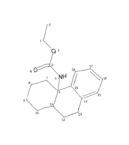 CCOC(=O)NC12CCCCC1CCc1ccccc12